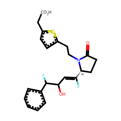 O=C(O)Cc1ccc(CCN2C(=O)CC[C@@H]2C(F)=CC(O)C(F)c2ccccc2)s1